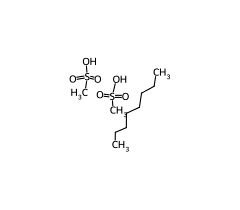 CCCCCCCC.CS(=O)(=O)O.CS(=O)(=O)O